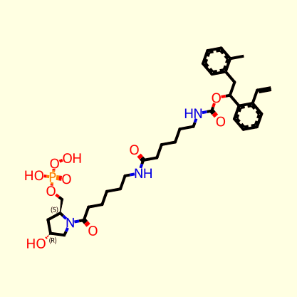 C=Cc1ccccc1C(Cc1ccccc1C)OC(=O)NCCCCCC(=O)NCCCCCC(=O)N1C[C@H](O)C[C@H]1COP(=O)(O)OO